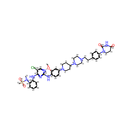 COc1cc(N2CCC(N3CCN(CCc4ccc(N5CCC(=O)NC5=O)cc4)CC3)CC2)ccc1Nc1ncc(Cl)c(Nc2ccccc2N(C)S(C)(=O)=O)n1